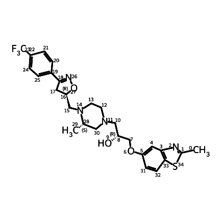 Cc1nc2cc(OC[C@H](O)CN3CCN(C[C@H]4CC(c5ccc(C(F)(F)F)cc5)=NO4)[C@@H](C)C3)ccc2s1